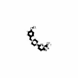 CCOc1ccc(CN2CCN(c3ccc4nnc(C(F)(F)F)n4n3)CC2)cc1